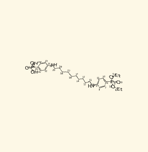 CCOP(=O)(OCC)c1ccc(NCCCCCCCCCCNc2ccc(P(=O)(O)O)cc2)cc1